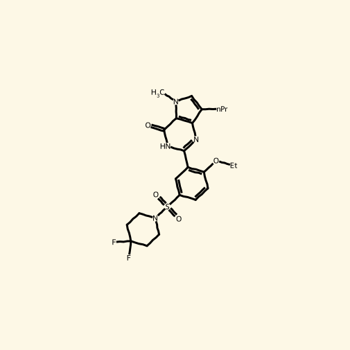 CCCc1cn(C)c2c(=O)[nH]c(-c3cc(S(=O)(=O)N4CCC(F)(F)CC4)ccc3OCC)nc12